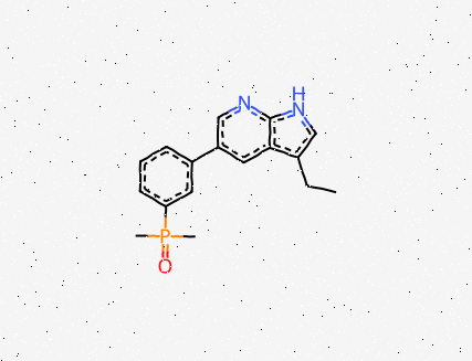 CCc1c[nH]c2ncc(-c3cccc(P(C)(C)=O)c3)cc12